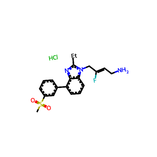 CCc1nc2c(-c3cccc(S(C)(=O)=O)c3)cccc2n1C/C(F)=C/CN.Cl